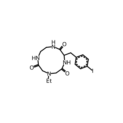 CCN1CC(=O)NCCNC(=O)C(Cc2ccc(I)cc2)NC(=O)C1